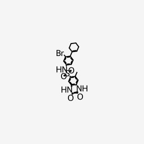 Cc1cc2[nH]c(=O)c(=O)[nH]c2cc1S(=O)(=O)Nc1ccc(C2=CCCCC2)c(Br)c1